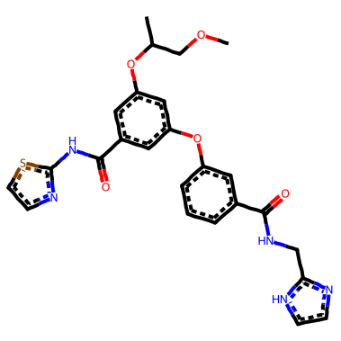 COCC(C)Oc1cc(Oc2cccc(C(=O)NCc3ncc[nH]3)c2)cc(C(=O)Nc2nccs2)c1